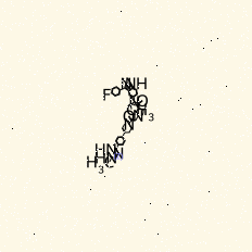 CCN(C(=O)C1CCN(CC(=O)N2CC=C(c3ccc(C(=N)/N=C\NC)cc3)CC2)C1)c1ccc2[nH]nc(-c3ccc(F)cc3)c2c1